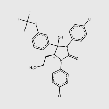 CCC[C@@H]1N(c2ccc(Cl)cc2)C(=O)N(c2ccc(Cl)cc2)C1(O)c1cccc(OC(F)(F)F)c1